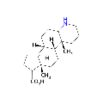 C[C@]12CCCNC1CC[C@@H]1[C@H]2CC[C@]2(C)C(C(=O)O)CC[C@@H]12